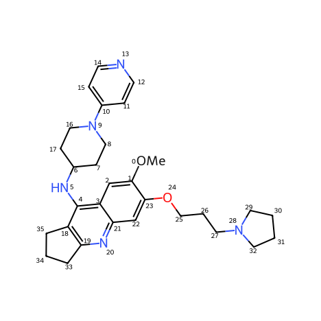 COc1cc2c(NC3CCN(c4ccncc4)CC3)c3c(nc2cc1OCCCN1CCCC1)CCC3